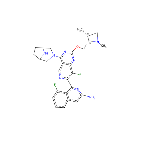 C[C@@H]1CN(C)[C@@H]1COc1nc(N2CC3CCC(C2)N3)c2cnc(-c3nc(N)cc4cccc(F)c34)c(F)c2n1